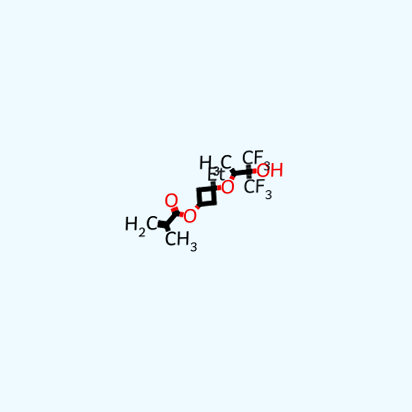 C=C(C)C(=O)OC1CC(CC)(OC(C)C(O)(C(F)(F)F)C(F)(F)F)C1